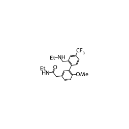 CCNCc1cc(C(F)(F)F)ccc1-c1cc(CC(=O)NCC)ccc1OC